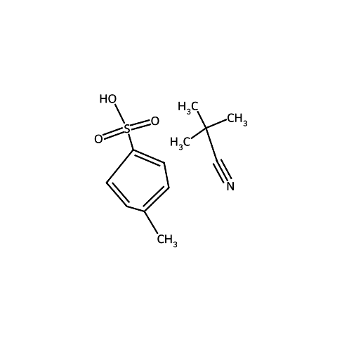 CC(C)(C)C#N.Cc1ccc(S(=O)(=O)O)cc1